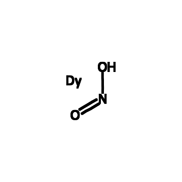 O=NO.[Dy]